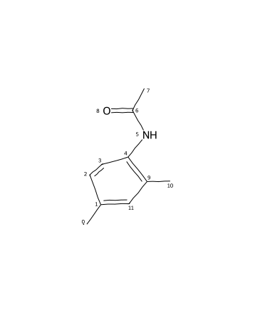 [CH2]c1ccc(NC(C)=O)c(C)c1